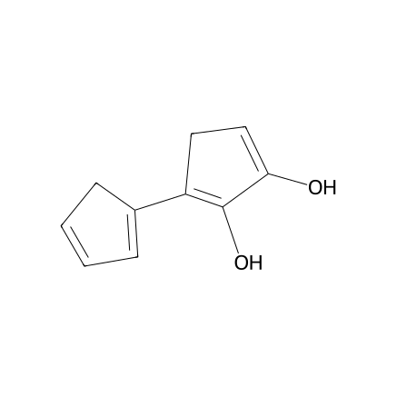 OC1=CCC(C2=CC=CC2)=C1O